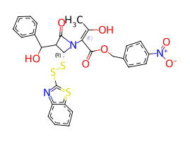 C/C(O)=C(/C(=O)OCc1ccc([N+](=O)[O-])cc1)N1C(=O)C(C(O)c2ccccc2)[C@H]1SSc1nc2ccccc2s1